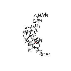 CC[C@@H](C(=O)N(C)[C@H](C)C(=O)N(C)[C@@H](CC(C)C)C(=O)N[C@H](C(=O)N(C)C(=O)NC(=O)NC(=O)NC)C(C)C)N(C(C)=O)[C@H](CC1=NCCN1C)[C@H](C)O[Si](C)(C)C(C)(C)C